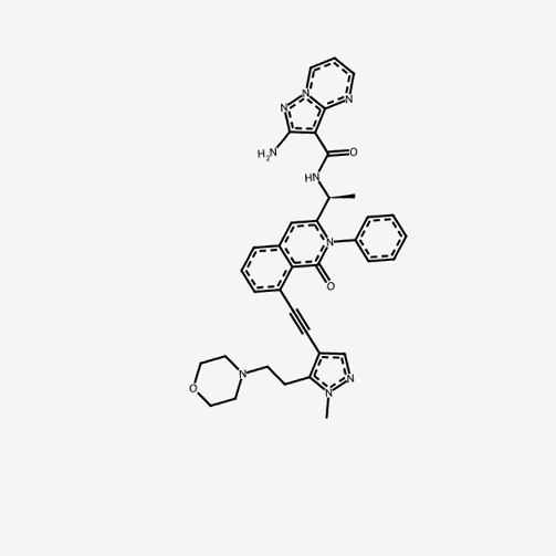 C[C@H](NC(=O)c1c(N)nn2cccnc12)c1cc2cccc(C#Cc3cnn(C)c3CCN3CCOCC3)c2c(=O)n1-c1ccccc1